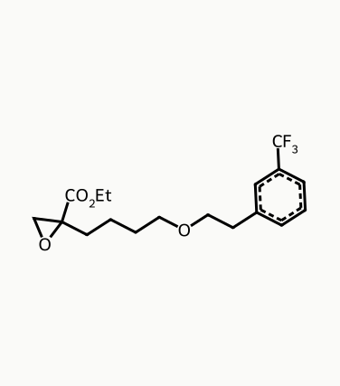 CCOC(=O)C1(CCCCOCCc2cccc(C(F)(F)F)c2)CO1